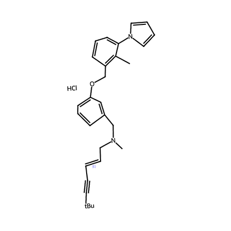 Cc1c(COc2cccc(CN(C)C/C=C/C#CC(C)(C)C)c2)cccc1-n1cccc1.Cl